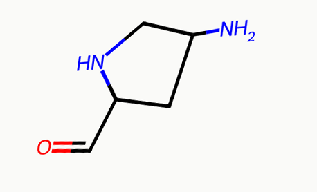 NC1CNC(C=O)C1